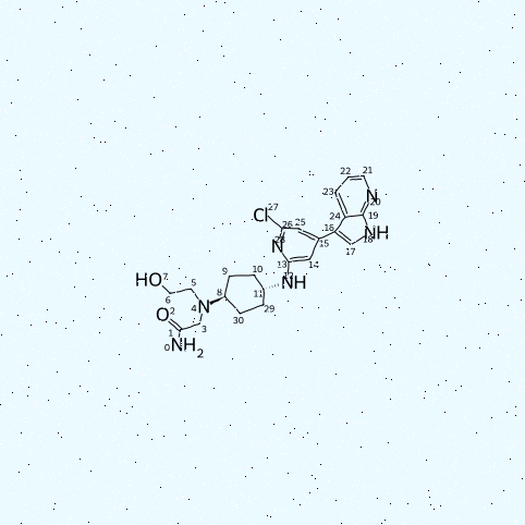 NC(=O)CN(CCO)[C@H]1CC[C@H](Nc2cc(-c3c[nH]c4ncccc34)cc(Cl)n2)CC1